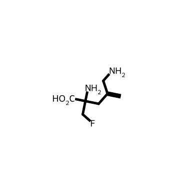 C=C(CN)CC(N)(CF)C(=O)O